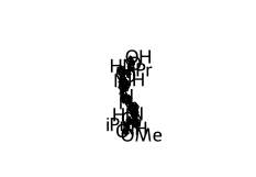 COC(=O)NC(C(=O)N1CCCC1c1nc2ccc(-c3cnc(Cc4ccc5[nH]c(C6CCCN6C(=O)C(NC(=O)CO)C(C)C)nc5c4)cn3)cc2[nH]1)C(C)C